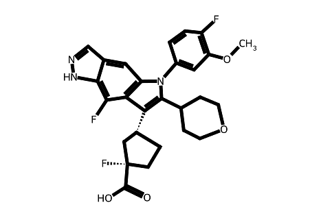 COc1cc(-n2c(C3CCOCC3)c([C@@H]3CC[C@@](F)(C(=O)O)C3)c3c(F)c4[nH]ncc4cc32)ccc1F